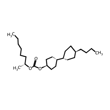 CCCCCC[C@@H](C)OC(=O)O[C@H]1CC[C@H]([C@H]2CC[C@H](CCCC)CC2)CC1